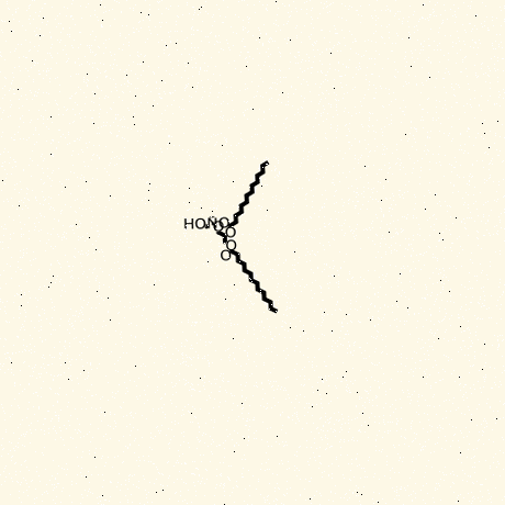 CCCCCCCCCCCCCC(=O)OCC(CON(C)CO)OC(=O)CCCCCCCCCCCCC